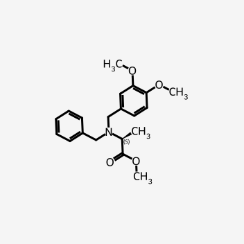 COC(=O)[C@H](C)N(Cc1ccccc1)Cc1ccc(OC)c(OC)c1